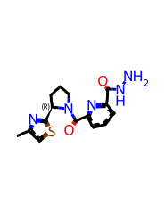 Cc1csc([C@H]2CCCN2C(=O)c2cccc(C(=O)NN)n2)n1